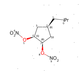 CC(C)C[C@@H]1C[C@H](O[N+](=O)[O-])[C@H](O[N+](=O)[O-])C1